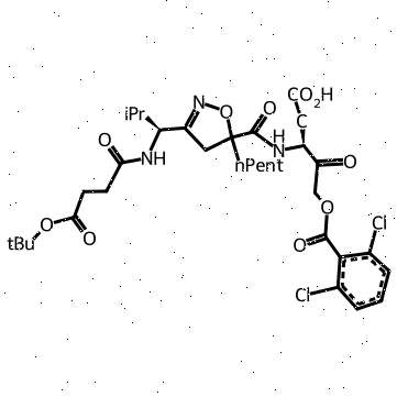 CCCCCC1(C(=O)N[C@@H](CC(=O)O)C(=O)COC(=O)c2c(Cl)cccc2Cl)CC([C@@H](NC(=O)CCC(=O)OC(C)(C)C)C(C)C)=NO1